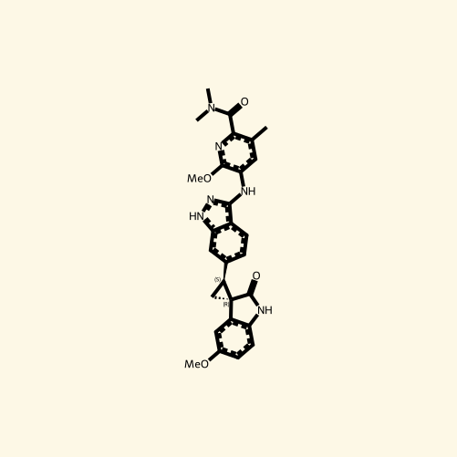 COc1ccc2c(c1)[C@]1(C[C@H]1c1ccc3c(Nc4cc(C)c(C(=O)N(C)C)nc4OC)n[nH]c3c1)C(=O)N2